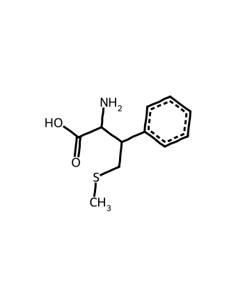 CSCC(c1ccccc1)C(N)C(=O)O